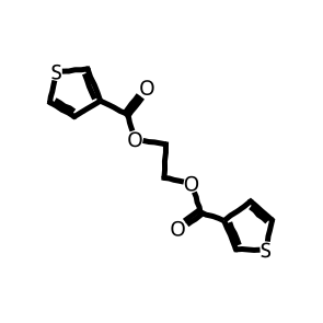 O=C(OCCOC(=O)c1ccsc1)c1ccsc1